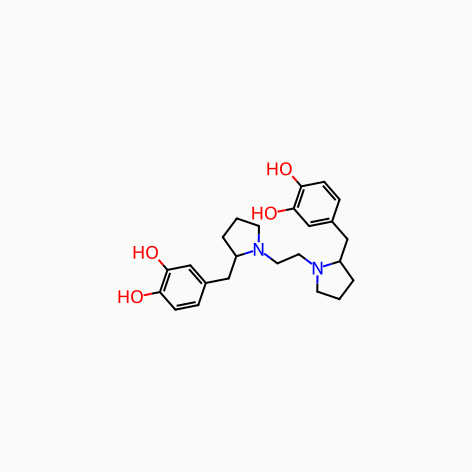 Oc1ccc(CC2CCCN2CCN2CCCC2Cc2ccc(O)c(O)c2)cc1O